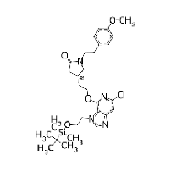 COc1ccc(CCN2C[C@H](CCOc3nc(Cl)cc4ncn(CCO[Si](C)(C)C(C)(C)C)c34)CC2=O)cc1